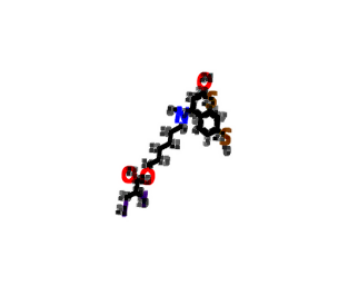 CSc1ccc2c(N(C)CCCCCCOC(=O)C(I)CI)cc(=O)sc2c1